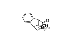 CC1(C)C2CNC(=O)C1c1ccccc12